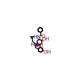 O=C(N[C@H]1C[C@@]2(O)[C@H]3Cc4ccc(O)cc4[C@@]2(CCN3CC2CC2)C[C@H]1O)c1ccccc1